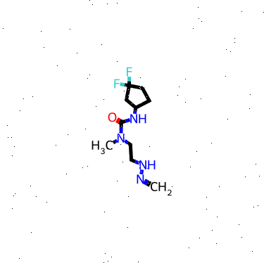 C=NNCCN(C)C(=O)NC1CCC(F)(F)C1